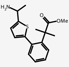 COC(=O)C(C)(C)c1ccccc1-c1ccc(C(C)N)s1